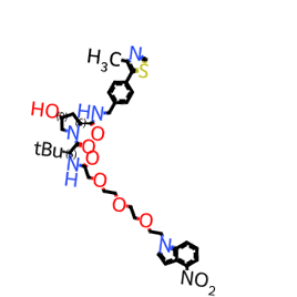 Cc1ncsc1-c1ccc(CNC(=O)[C@@H]2C[C@@H](O)CN2C(=O)[C@@H](NC(=O)COCCOCCOCCn2ccc3c([N+](=O)[O-])cccc32)C(C)(C)C)cc1